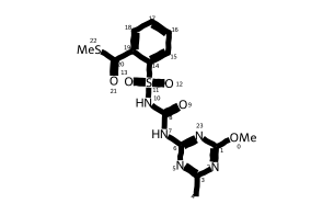 COc1nc(C)nc(NC(=O)NS(=O)(=O)c2ccccc2C(=O)SC)n1